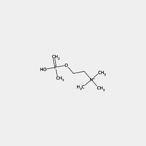 C=P(C)(O)OCC[N+](C)(C)C